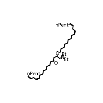 CCCCC/C=C\C/C=C\CCCCCCCCOC(CC(=O)CCCCCCC/C=C\C/C=C\CCCCC)CN(CC)CC